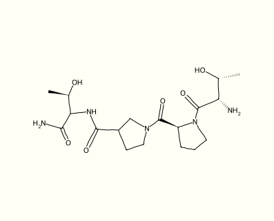 C[C@@H](O)C(NC(=O)C1CCN(C(=O)[C@@H]2CCCN2C(=O)[C@@H](N)[C@@H](C)O)C1)C(N)=O